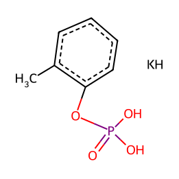 Cc1ccccc1OP(=O)(O)O.[KH]